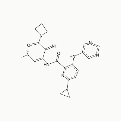 CN/C=C(/NC(=O)c1nc(C2CC2)ccc1Nc1cncnc1)C(=N)C(=O)N1CCC1